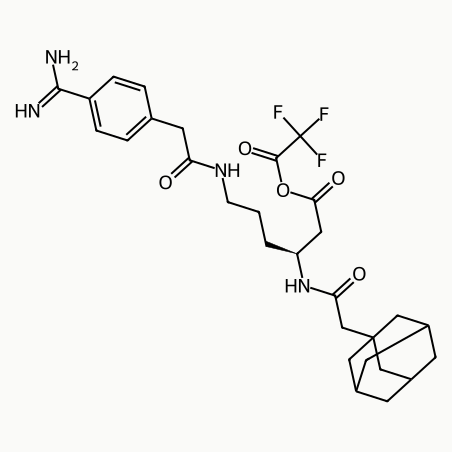 N=C(N)c1ccc(CC(=O)NCCC[C@@H](CC(=O)OC(=O)C(F)(F)F)NC(=O)CC23CC4CC(CC(C4)C2)C3)cc1